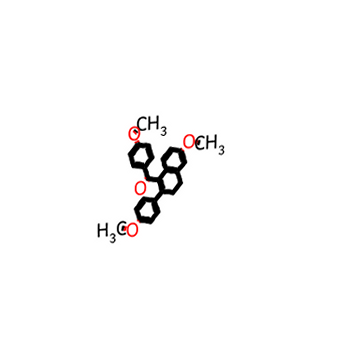 COc1ccc(C(=O)C2=C(c3ccc(OC)cc3)CCc3cc(OC)ccc32)cc1